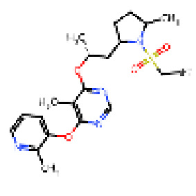 Cc1ncccc1Oc1ncnc(O[C@H](C)CC2CCC(C)N2S(=O)(=O)CC(C)C)c1C